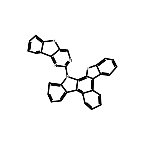 c1ccc2c(c1)sc1cnc(-n3c4ccccc4c4c5ccccc5c5c6ccccc6sc5c43)nc12